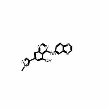 Cn1cc(-c2cc(O)c3c(Nc4ccc5nccnc5c4)ncnc3c2)cn1